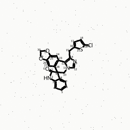 O=C1Nc2ccccc2C12Cn1cnc(Cc3ccc(Cl)s3)c1-c1cc3c(cc12)OCO3